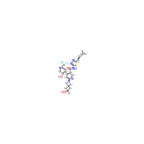 COc1cnc(C(F)F)cc1-c1cc(N2CC3(C2)CC(C)(O)C3)ncc1C(=O)Nc1nnc(C#CC2CC2)s1